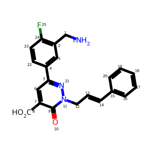 NCc1cc(-c2cc(C(=O)O)c(=O)n(C/C=C/c3ccccc3)n2)ccc1F